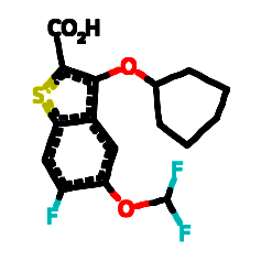 O=C(O)c1sc2cc(F)c(OC(F)F)cc2c1OC1CCCCC1